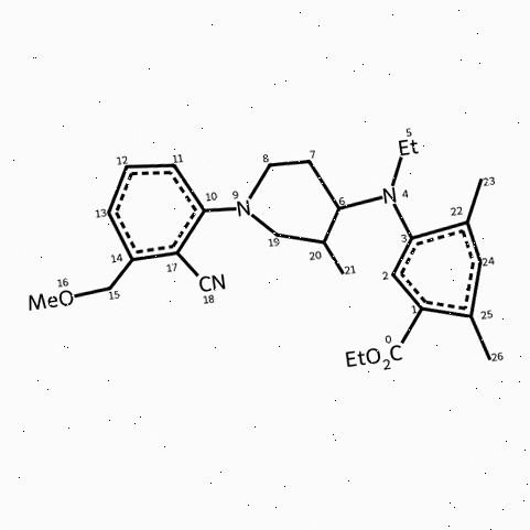 CCOC(=O)c1cc(N(CC)C2CCN(c3cccc(COC)c3C#N)CC2C)c(C)cc1C